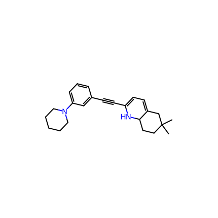 CC1(C)CCC2NC(C#Cc3cccc(N4CCCCC4)c3)=CC=C2C1